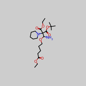 CCOC(=O)CCCCOC(N)C(C(=O)OCC)(C(=O)OC(C)(C)C)N1CCCCC1